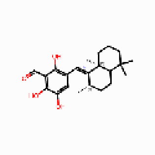 C[C@H]1CCC2C(C)(C)CCC[C@]2(C)/C1=C/c1cc(O)c(O)c(C=O)c1O